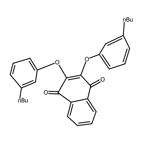 CCCCc1cccc(OC2=C(Oc3cccc(CCCC)c3)C(=O)c3ccccc3C2=O)c1